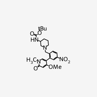 COc1cc(=O)n(C)cc1-c1cc([N+](=O)[O-])ccc1CN1CCCC(NC(=O)OC(C)(C)C)C1